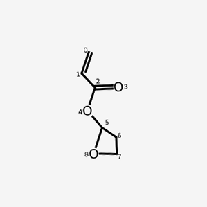 C=CC(=O)OC1CCO1